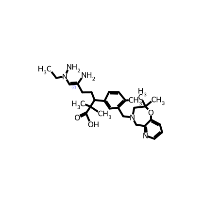 CCN(N)/C=C(\N)CCC(c1ccc(C)c(CN2Cc3ncccc3OC(C)(C)C2)c1)C(C)(C)C(=O)O